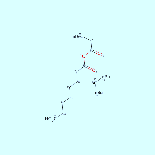 CCCCCCCCCCCC(=O)OC(=O)CCCCCCC(=O)O.CCC[CH2][Sn][CH2]CCC